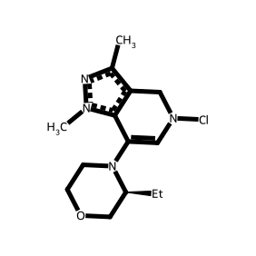 CC[C@H]1COCCN1C1=CN(Cl)Cc2c(C)nn(C)c21